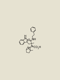 CC(Cc1c[nH]c2ccccc12)(C(=O)NCCc1ccccc1)N(C(=O)O)C1CC2CCC1(C)C2(C)C